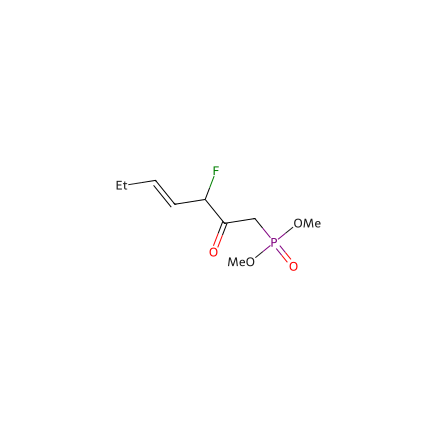 CCC=CC(F)C(=O)CP(=O)(OC)OC